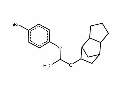 CCC(C)c1ccc(OC(C)OC2CC3CC2C2CCCC32)cc1